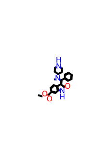 CCOC(=O)c1ccc2c(c1)NC(=O)C2=C(c1ccccc1)N(C)C1CCNCC1